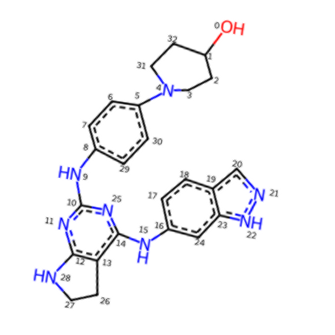 OC1CCN(c2ccc(Nc3nc4c(c(Nc5ccc6cn[nH]c6c5)n3)CCN4)cc2)CC1